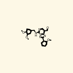 COc1ccc(CNc2ncc(C=O)c3nc(-c4ccccc4OC)nn23)cc1OC